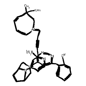 CC1(O)C=CC=CN(CC#Cc2cc(N3C4CCC3CN(c3cc(-c5ccccc5O)nnc3N)C4)ccn2)C1